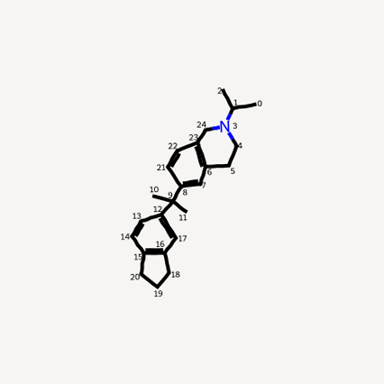 CC(C)N1CCc2cc(C(C)(C)c3ccc4c(c3)CCC4)ccc2C1